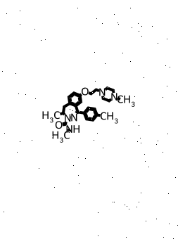 CNC(=O)N1N=C(c2ccc(C)cc2)c2cc(OCCN3CCN(C)CC3)ccc2CC1C